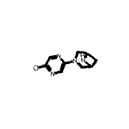 Clc1cnc(N2CC3CC(C2)N3)cn1